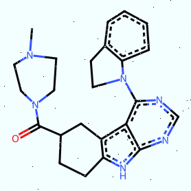 CN1CCN(C(=O)C2CCc3[nH]c4ncnc(N5CCc6ccccc65)c4c3C2)CC1